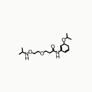 CC(C)NOCCOCCC(=O)NC1=CC(OC(C)C)CC=C1